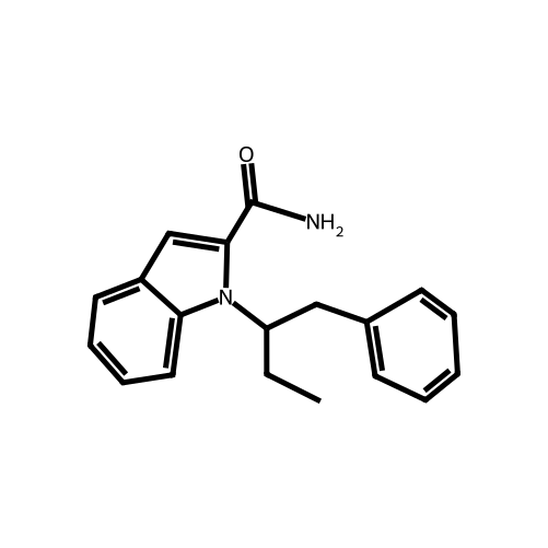 CCC(Cc1ccccc1)n1c(C(N)=O)cc2ccccc21